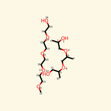 CC(O)COC(C)COC(C)CO.COCCOCCOCCOCCO